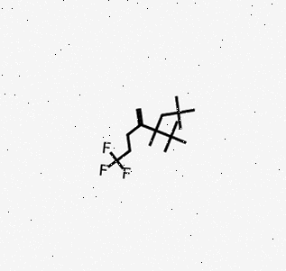 C=C(CCC(F)(F)F)C(C)(CC(C)(C)C)C(C)(C)C